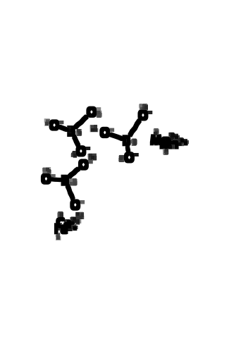 [Ca+2].[Fe+3].[Mg+2].[Mn+2].[O-]B([O-])[O-].[O-]B([O-])[O-].[O-]B([O-])[O-]